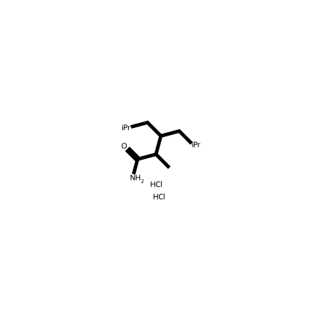 CC(C)CC(CC(C)C)C(C)C(N)=O.Cl.Cl